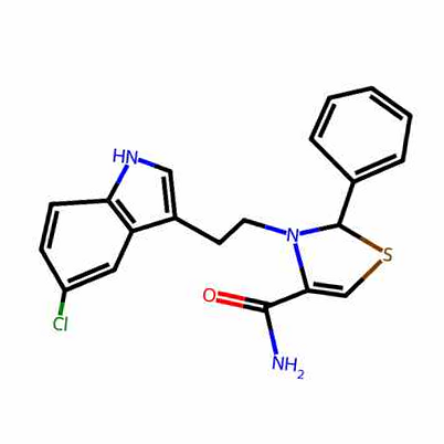 NC(=O)C1=CSC(c2ccccc2)N1CCc1c[nH]c2ccc(Cl)cc12